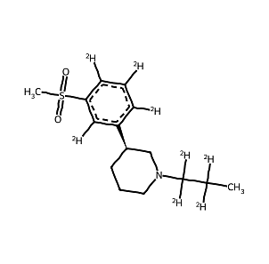 [2H]c1c([2H])c([C@@H]2CCCN(C([2H])([2H])C([2H])([2H])C)C2)c([2H])c(S(C)(=O)=O)c1[2H]